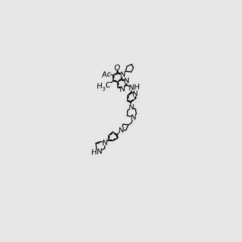 CC(=O)c1c(C)c2cnc(Nc3ccc(N4CCN(CC5CN(c6ccc(N7C=CCNC7)cc6)C5)CC4)cn3)nc2n(C2CCCC2)c1=O